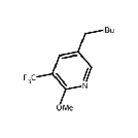 CCC(C)Cc1cnc(OC)c(C(F)(F)F)c1